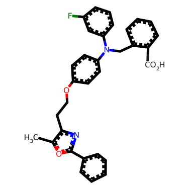 Cc1oc(-c2ccccc2)nc1CCOc1ccc(N(Cc2ccccc2C(=O)O)c2cccc(F)c2)cc1